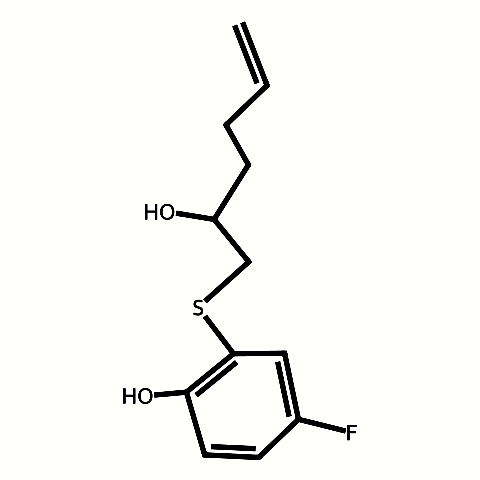 C=CCCC(O)CSc1cc(F)ccc1O